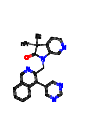 CCCC1(CC)C(=O)N(Cc2ncc3ccccc3c2-c2cncnc2)c2cnccc21